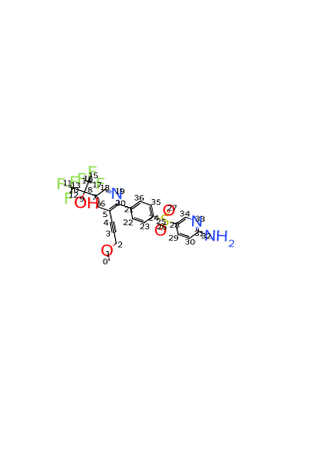 COCC#Cc1cc(C(O)(C(F)(F)F)C(F)(F)F)cnc1-c1ccc(S(=O)(=O)c2ccc(N)nc2)cc1